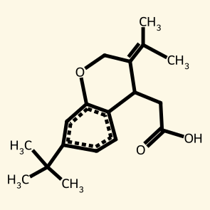 CC(C)=C1COc2cc(C(C)(C)C)ccc2C1CC(=O)O